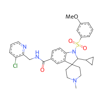 COc1cccc(S(=O)(=O)N2c3ccc(C(=O)NCc4ncccc4Cl)cc3C3(CCN(C)CC3)C2C2CC2)c1